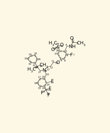 CC(=O)NCc1c(F)cc(OCCCN(Cc2cccc(C(F)(F)F)c2F)CC(C)(C)c2ccccc2)cc1S(C)(=O)=O